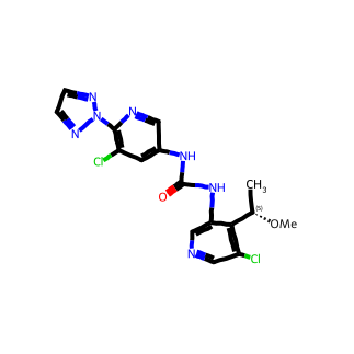 CO[C@@H](C)c1c(Cl)cncc1NC(=O)Nc1cnc(-n2nccn2)c(Cl)c1